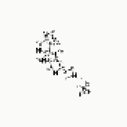 CCc1cc(C2CN(CCC(F)(F)F)C2)ncc1N(C)c1cc2c(cn1)ncn2C